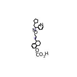 O=C(O)COc1cccc2c1CCCC2/C=C/CO/N=C(/CC1CCCC1)c1cccnc1